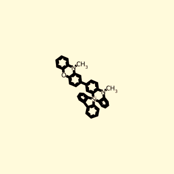 CN1c2ccccc2Oc2ccc(-c3ccc4c(c3)[Si]3(c5ccccc5-c5ccccc53)c3ccccc3N4C)cc21